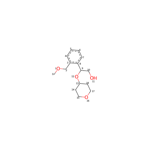 COCc1ccccc1C(CO)OC1CCOCC1